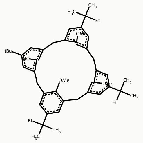 CCC(C)(C)c1cc2c(OC)c(c1)Cc1cc(C(C)(C)CC)cc(c1OC)Cc1cc(C(C)(C)CC)cc(c1OC)Cc1cc(C(C)(C)C)cc(c1O)C2